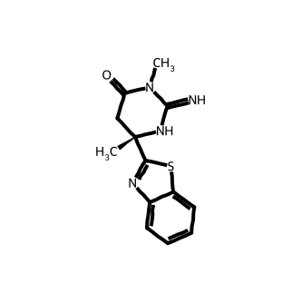 CN1C(=N)N[C@](C)(c2nc3ccccc3s2)CC1=O